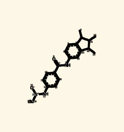 CC1c2ccc(NC(=O)c3ccc(N[S+]([O-])C(C)(C)C)cc3)cc2C(C)C1C